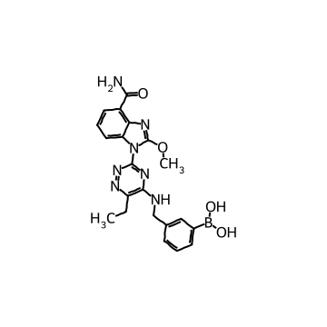 CCc1nnc(-n2c(OC)nc3c(C(N)=O)cccc32)nc1NCc1cccc(B(O)O)c1